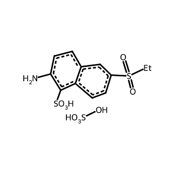 CCS(=O)(=O)c1ccc2c(S(=O)(=O)O)c(N)ccc2c1.O=S(=O)(O)O